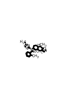 Cc1ccccc1-c1nc2c(n1-c1nnn(C)n1)CC[C@H]1[C@H](C)c3oncc3C[C@]21C